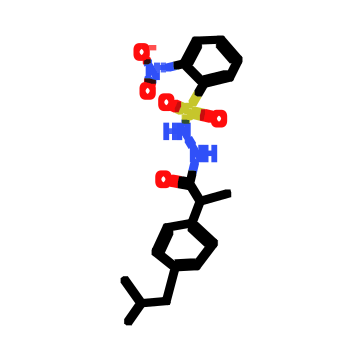 CC(C)Cc1ccc(C(C)C(=O)NNS(=O)(=O)c2ccccc2[N+](=O)[O-])cc1